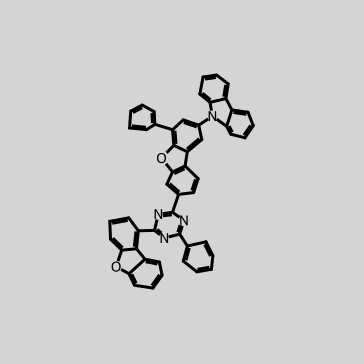 c1ccc(-c2nc(-c3ccc4c(c3)oc3c(-c5ccccc5)cc(-n5c6ccccc6c6ccccc65)cc34)nc(-c3cccc4oc5ccccc5c34)n2)cc1